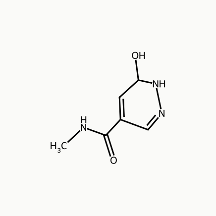 CNC(=O)C1=CC(O)NN=C1